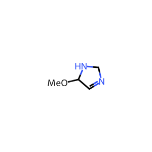 COC1C=NCN1